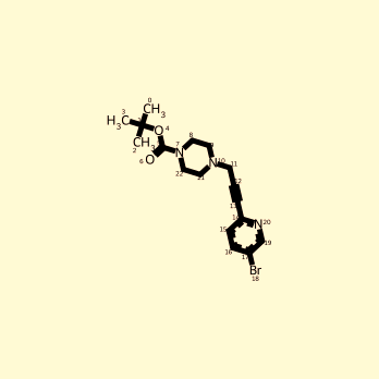 CC(C)(C)OC(=O)N1CCN(CC#Cc2ccc(Br)cn2)CC1